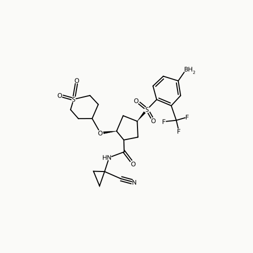 Bc1ccc(S(=O)(=O)[C@H]2CC(C(=O)NC3(C#N)CC3)[C@@H](OC3CCS(=O)(=O)CC3)C2)c(C(F)(F)F)c1